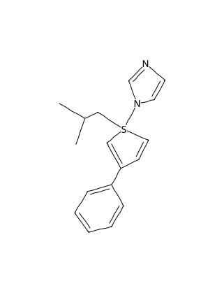 CC(C)CS1(n2ccnc2)C=CC(c2ccccc2)=C1